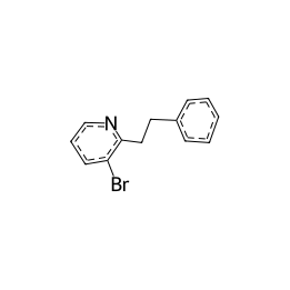 Brc1cccnc1CCc1ccccc1